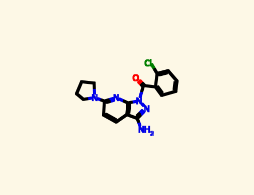 Nc1nn(C(=O)c2ccccc2Cl)c2nc(N3CCCC3)ccc12